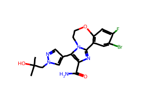 CC(C)(O)Cn1cc(-c2c(C(N)=O)nc3n2CCOc2cc(F)c(Br)cc2-3)cn1